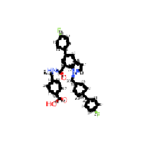 C[C@H](NC(=O)c1cc(-c2ccc(F)cc2)cc2ccn(Cc3ccc(-c4ccc(F)cc4)cc3)c12)c1ccc(C(=O)O)cc1